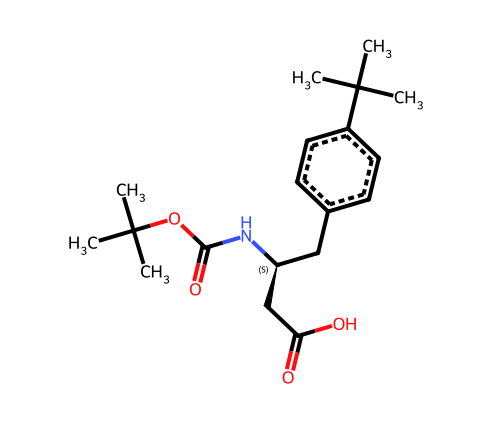 CC(C)(C)OC(=O)N[C@H](CC(=O)O)Cc1ccc(C(C)(C)C)cc1